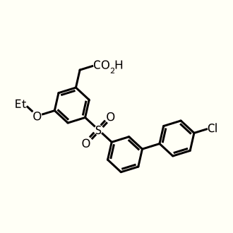 CCOc1cc(CC(=O)O)cc(S(=O)(=O)c2cccc(-c3ccc(Cl)cc3)c2)c1